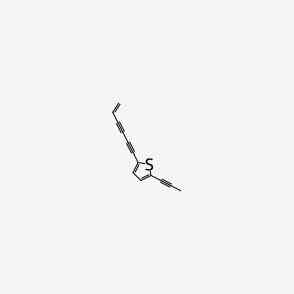 C=CC#CC#Cc1ccc(C#CC)s1